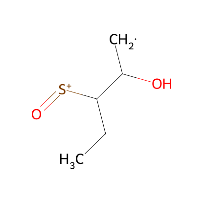 [CH2]C(O)C(CC)[S+]=O